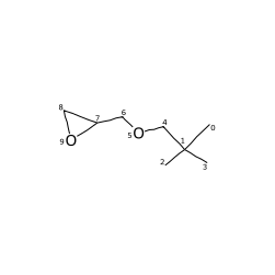 CC(C)(C)COCC1CO1